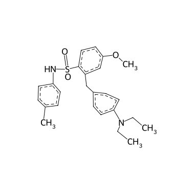 CCN(CC)c1ccc(Cc2cc(OC)ccc2S(=O)(=O)Nc2ccc(C)cc2)cc1